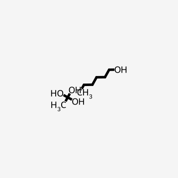 CC(O)(O)O.CCCCCCO